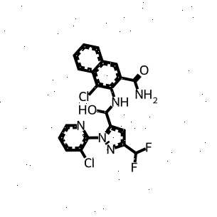 NC(=O)c1cc2ccccc2c(Cl)c1NC(O)c1cc(C(F)F)nn1-c1ncccc1Cl